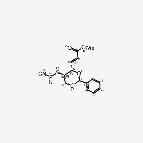 COC(=O)/C=C/[C@@H]1OC(c2ccccc2)OC[C@H]1SPN=O